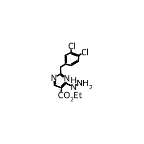 CCOC(=O)c1cnc(Cc2ccc(Cl)c(Cl)c2)nc1NN